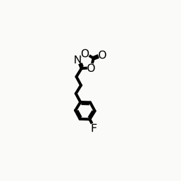 O=c1onc(CCCc2ccc(F)cc2)o1